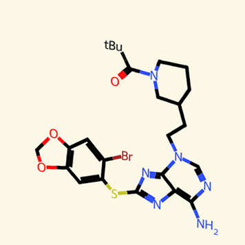 CC(C)(C)C(=O)N1CCCC(CCn2cnc(N)c3nc(Sc4cc5c(cc4Br)OCO5)nc2-3)C1